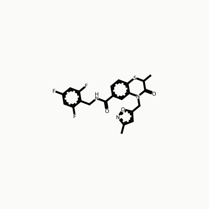 Cc1cc(CN2C(=O)C(C)Sc3ccc(C(=O)NCc4c(F)cc(F)cc4F)cc32)on1